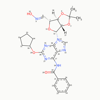 CC1(C)O[C@H]2[C@H](O1)[C@@H](C=NO)O[C@H]2n1cnc2c(NC(=O)c3ccccc3)nc(OC3CCCC3)nc21